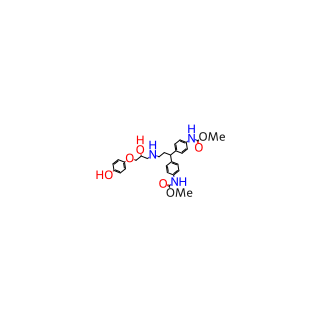 COC(=O)Nc1ccc(C(CCNCC(O)COc2ccc(O)cc2)c2ccc(NC(=O)OC)cc2)cc1